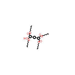 C=CCCCCOC(=O)c1cc(C(=O)OCCCCC=C)cc(-c2ccc(-c3cc(C(=O)OCCCCC=C)cc(C(O)OCCCCC=C)c3)cc2)c1